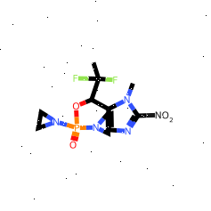 Cn1c(C(OP(=O)(N2CC2)N2CC2)C(C)(F)F)cnc1[N+](=O)[O-]